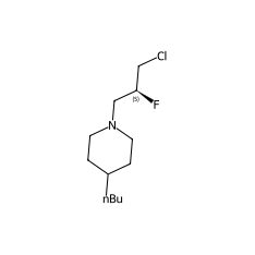 CCCCC1CCN(C[C@H](F)CCl)CC1